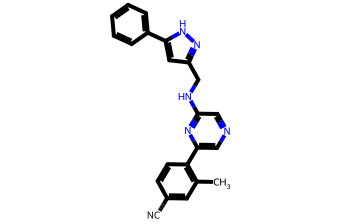 Cc1cc(C#N)ccc1-c1cncc(NCc2cc(-c3ccccc3)[nH]n2)n1